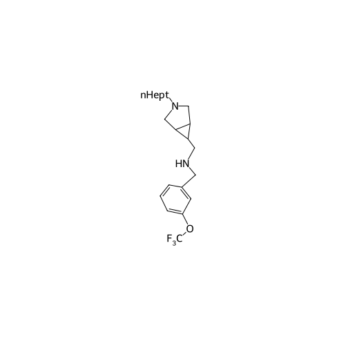 CCCCCCCN1CC2C(CNCc3cccc(OC(F)(F)F)c3)C2C1